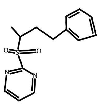 CC(CCc1ccccc1)S(=O)(=O)c1ncccn1